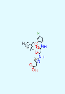 CC(C)COc1cc(F)ccc1NC(=O)CC(=O)Nc1nc(CC(=O)O)cs1